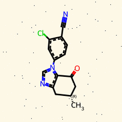 C[C@H]1CC(=O)c2c(ncn2-c2ccc(C#N)c(Cl)c2)C1